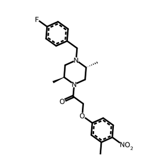 Cc1cc(OCC(=O)N2C[C@@H](C)N(Cc3ccc(F)cc3)C[C@@H]2C)ccc1[N+](=O)[O-]